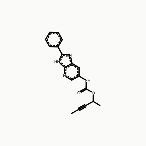 CC#CC(C)OC(=O)Nc1cnc2[nH]c(-c3ccccc3)nc2c1